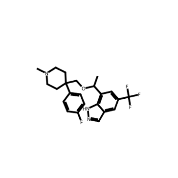 CC(OCC1(c2ccc(F)cc2)CCN(C)CC1)c1cc(C(F)(F)F)cc2cn[nH]c12